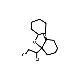 O=C1CCC[CH]C1(OC1CC[CH]CC1)C(Cl)CCl